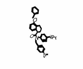 CC(C)c1ccc(N(Cc2ccc(N(C)C)cc2)C(=O)C2CCCc3c(OCc4ccccc4)cccc32)cc1